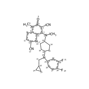 CN(c1c(C#N)c(=O)n(C)c2ccc(C#N)nc12)C1CCC(N(CC2CC2)c2ccc(F)c(F)c2)CC1